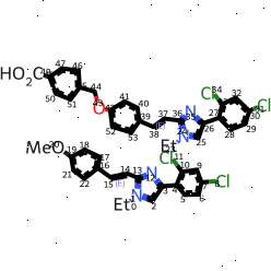 CCn1cc(-c2ccc(Cl)cc2Cl)nc1/C=C/c1ccc(OC)cc1.CCn1cc(-c2ccc(Cl)cc2Cl)nc1/C=C/c1ccc(OCc2ccc(C(=O)O)cc2)cc1